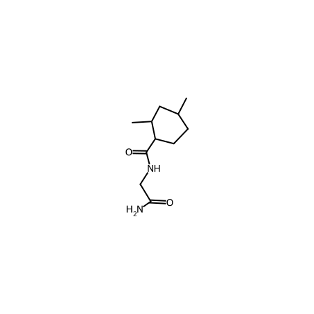 CC1CCC(C(=O)NCC(N)=O)C(C)C1